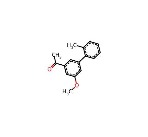 COc1cc(C(C)=O)cc(-c2ccccc2C)c1